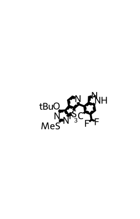 CSc1nc(OC(C)(C)C)c2c(n1)sc1c(-c3c(C(F)(F)F)c(C(F)F)cc4[nH]ncc34)nccc12